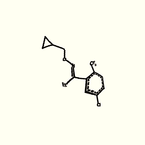 CC/C(=N\OCC1CC1)c1cc(Cl)ccc1C(F)(F)F